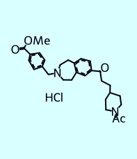 COC(=O)c1ccc(CN2CCc3ccc(C(=O)CCC4CCN(C(C)=O)CC4)cc3CC2)cc1.Cl